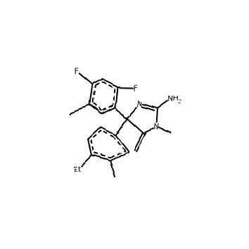 C=C1N(C)C(N)=NC1(c1ccc(CC)c(C)c1)c1cc(C)c(F)cc1F